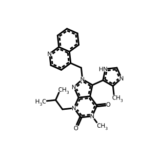 Cc1nc[nH]c1-c1c2c(=O)n(C)c(=O)n(CC(C)C)c2nn1Cc1ccnc2ccccc12